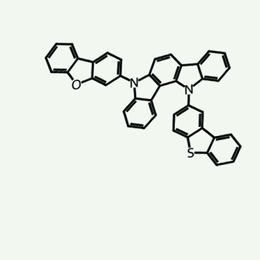 c1ccc2c(c1)oc1cc(-n3c4ccccc4c4c3ccc3c5ccccc5n(-c5ccc6sc7ccccc7c6c5)c34)ccc12